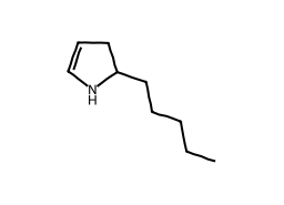 CCCCCC1CC=CN1